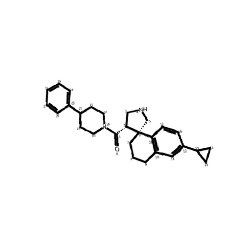 O=C([C@@H]1CNC[C@]12CCCc1cc(C3CC3)ccc12)N1CCC(c2ccccc2)CC1